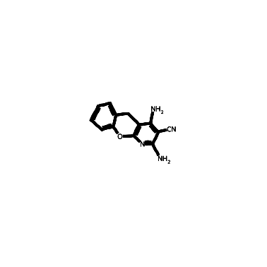 N#Cc1c(N)nc2c(c1N)Cc1ccccc1O2